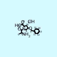 CC(N)C(=O)N1CC(OCc2ccccc2)CC1C(=O)O.Cl